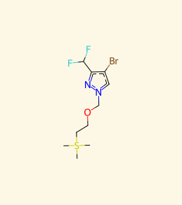 CS(C)(C)CCOCn1cc(Br)c(C(F)F)n1